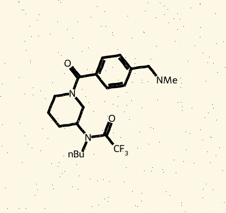 CCCCN(C(=O)C(F)(F)F)C1CCCN(C(=O)c2ccc(CNC)cc2)C1